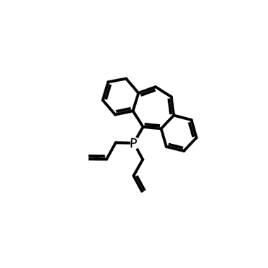 C=CCP(CC=C)C1=c2ccccc2=CC=C2CC=CC=C21